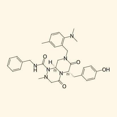 Cc1ccc(N(C)C)c(CN2C[C@H]3N(C(=O)CN(C)N3C(=O)NCc3ccccc3)[C@@H](Cc3ccc(O)cc3)C2=O)c1